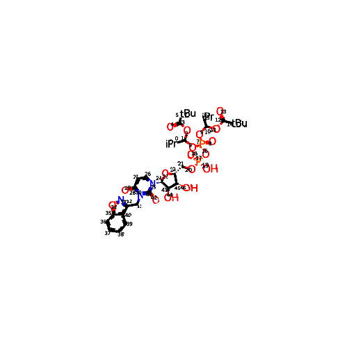 CC(C)C(OC(=O)C(C)(C)C)OP(=O)(OC(OC(=O)C(C)(C)C)C(C)C)OP(=O)(O)OC[C@H]1O[C@@H](n2ccc(=O)n(Cc3noc4ccccc34)c2=O)C(O)[C@H]1O